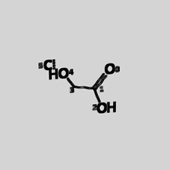 O=C(O)CO.[C]